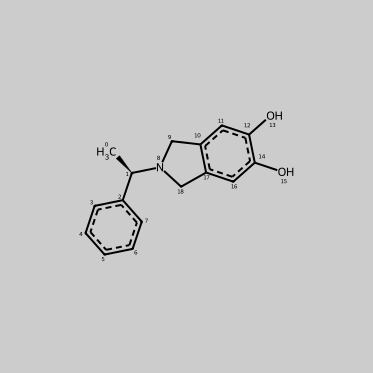 C[C@H](c1ccccc1)N1Cc2cc(O)c(O)cc2C1